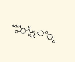 CC(=O)Nc1cc(Nc2ncnc(N3CCC(Oc4ccc(Cl)cc4)CC3)n2)ccc1Cl